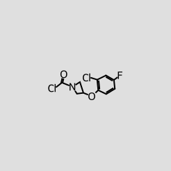 O=C(Cl)N1CC(Oc2ccc(F)cc2Cl)C1